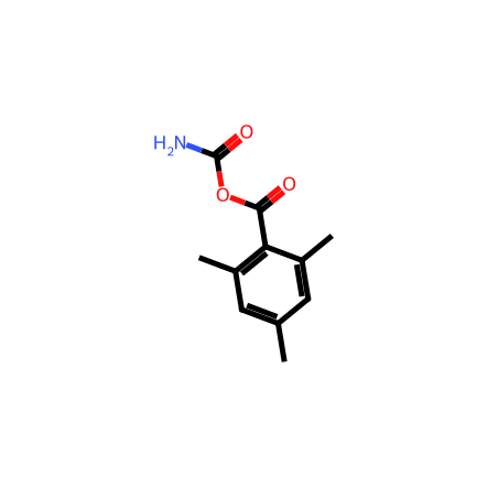 Cc1cc(C)c(C(=O)OC(N)=O)c(C)c1